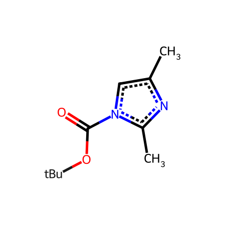 Cc1cn(C(=O)OC(C)(C)C)c(C)n1